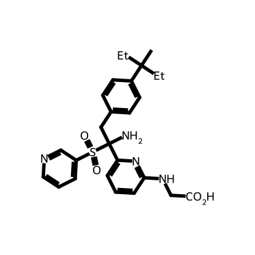 CCC(C)(CC)c1ccc(CC(N)(c2cccc(NCC(=O)O)n2)S(=O)(=O)c2cccnc2)cc1